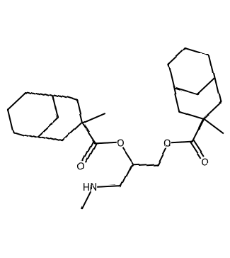 CNCC(COC(=O)C1(C)CC2CCCC(C2)C1)OC(=O)C1(C)CC2CCCC(C2)C1